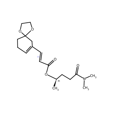 C[C@H](CCC(=O)N(C)C)OC(=O)/C=C/C1=CCCC2(C1)OCCO2